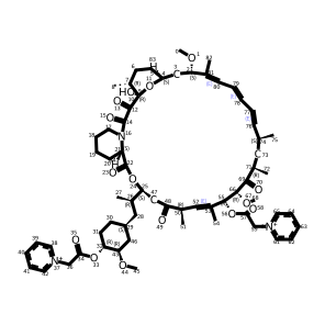 CO[C@H]1C[C@@H]2CC[C@@H](C)[C@@](O)(O2)C(=O)C(=O)N2CCCC[C@H]2C(=O)O[C@H]([C@H](C)C[C@@H]2CC[C@@H](OC(=O)C[n+]3ccccc3)[C@H](OC)C2)CC(=O)[C@H](C)/C=C(\C)[C@@H](OC(=O)C[n+]2ccccc2)[C@@H](OC)C(=O)[C@H](C)C[C@H](C)/C=C/C=C/C=C/1C